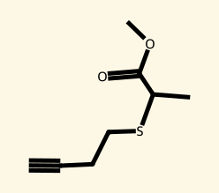 C#CCCSC(C)C(=O)OC